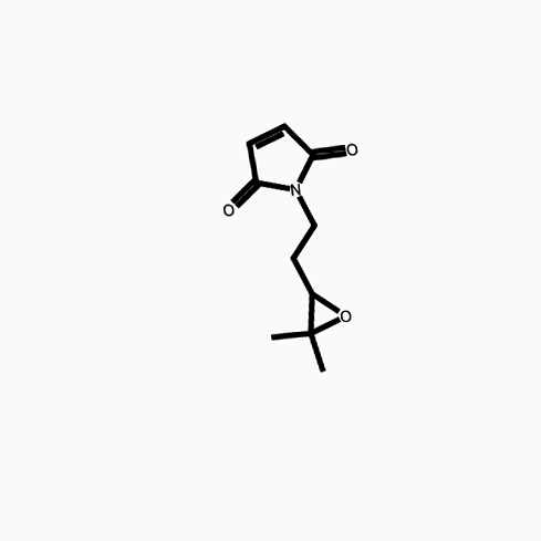 CC1(C)OC1CCN1C(=O)C=CC1=O